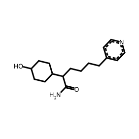 NC(=O)C(CCCCc1ccncc1)C1CCC(O)CC1